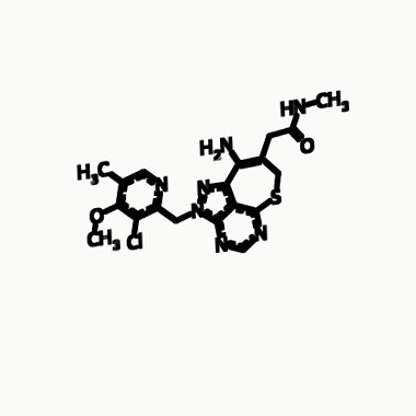 CNC(=O)CC1=C(N)c2nn(Cc3ncc(C)c(OC)c3Cl)c3ncnc(c23)SC1